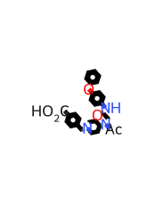 CC(=O)N(CC(=O)Nc1ccc(Oc2ccccc2)cc1)C1CCN(Cc2ccc(C(=O)O)cc2)CC1